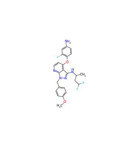 COc1ccc(Cn2nc(NC(C)CC(F)F)c3c(Oc4ccc(N)cc4F)ccnc32)cc1